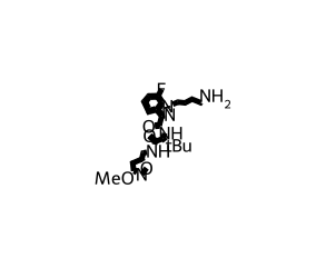 COC1=NOC(CNC(=O)C(NC(=O)c2nn(CCCCN)c3c(F)cccc23)C(C)(C)C)C1